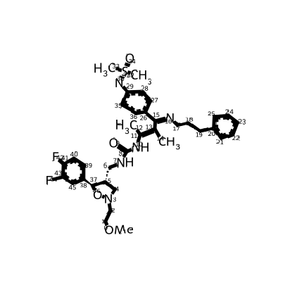 COCCN1C[C@@H](CNC(=O)N/C(C)=C(C)/C(=N\CCCc2ccccc2)c2ccc(N=S(C)(C)=O)cc2)[C@H](c2ccc(F)c(F)c2)O1